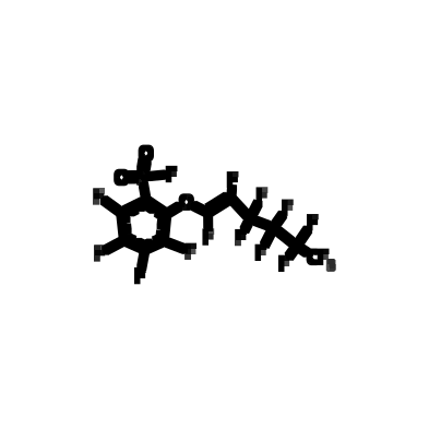 O=S(=O)(F)c1c(F)c(F)c(F)c(F)c1OC(F)=C(F)C(F)(F)C(F)(F)C(F)(F)C(F)(F)F